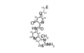 C[C@@]1(c2cc(NC(=O)c3ncc(OCCF)cc3Cl)ccn2)CCSC(N)=N1